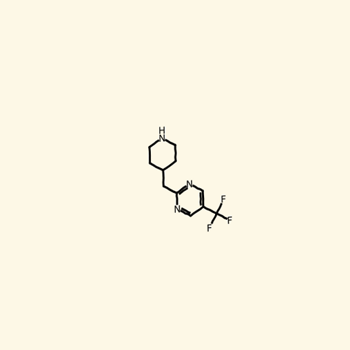 FC(F)(F)c1cnc(CC2CCNCC2)nc1